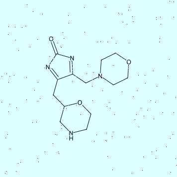 O=C1N=C(CC2CNCCO2)C(CN2CCOCC2)=N1